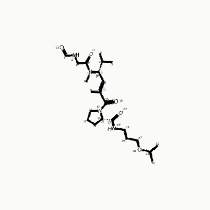 C/C(=C\[C@H](C(C)C)N(C)C(=O)CNC=O)C(=O)N1CCC[C@H]1C(=O)NCCCOC(C)C